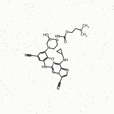 CN(C)CCOC(=O)N[C@@H]1CCN(c2cc(C#N)cc(Nc3nc(NC4CC4)c4ncc(C#N)n4n3)c2Cl)C[C@H]1O